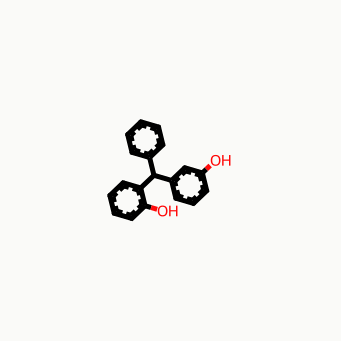 Oc1cccc(C(c2ccccc2)c2ccccc2O)c1